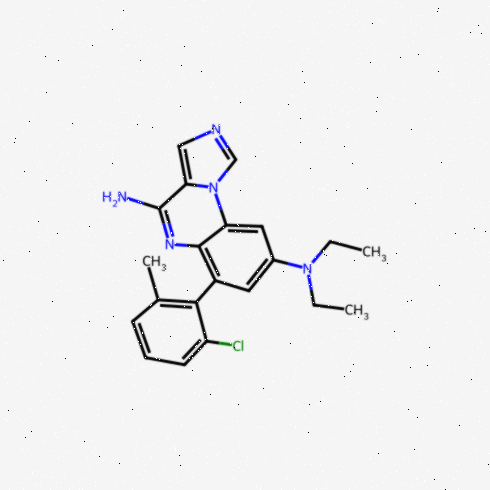 CCN(CC)c1cc(-c2c(C)cccc2Cl)c2nc(N)c3cncn3c2c1